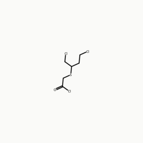 O=C(Cl)CSC(CCl)CCCl